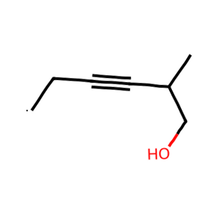 [CH2]CC#CC(C)CO